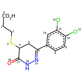 O=C(O)CCSC1CC(c2ccc(Cl)c(Cl)c2)=NNC1=O